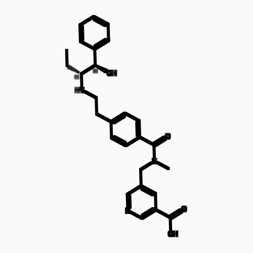 CC[C@@H](NCCc1ccc(C(=O)N(C)Cc2cncc(C(=O)O)c2)cc1)[C@H](O)c1ccccc1